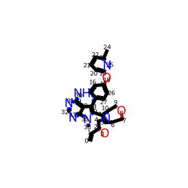 C=CC(=O)CN1C2COCC1C(c1c(-c3ccc(Oc4cccc(C)n4)cc3)c3c(N)ncnc3n1C)C2